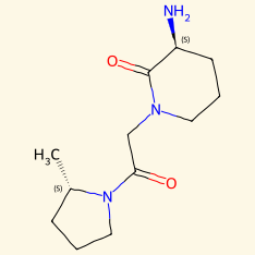 C[C@H]1CCCN1C(=O)CN1CCC[C@H](N)C1=O